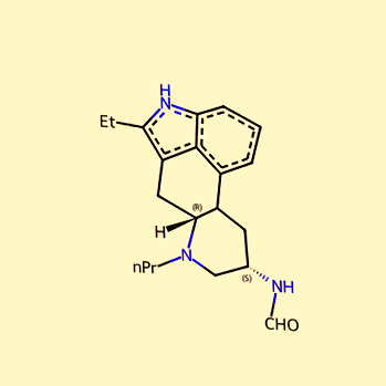 CCCN1C[C@@H](NC=O)CC2c3cccc4[nH]c(CC)c(c34)C[C@H]21